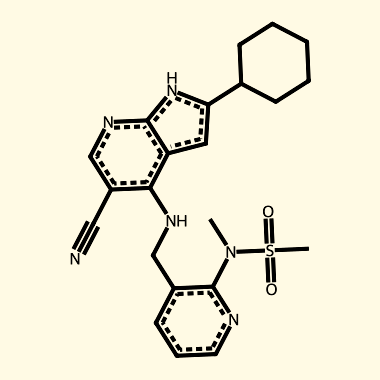 CN(c1ncccc1CNc1c(C#N)cnc2[nH]c(C3CCCCC3)cc12)S(C)(=O)=O